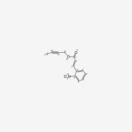 O=C(C=Cc1ccccc1[N+](=O)[O-])OCC#CI